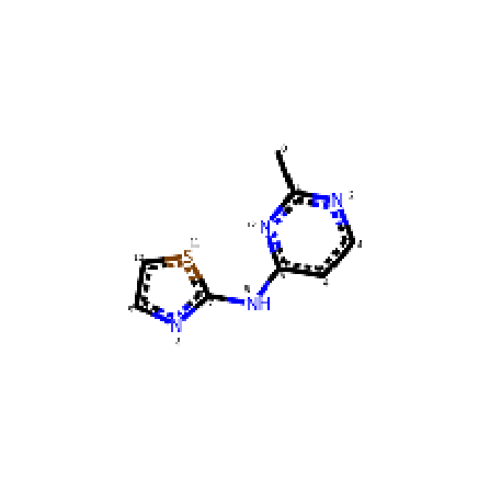 Cc1nccc(Nc2nccs2)n1